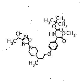 COC(=O)[C@@H](NC(=O)OC(C)(C)C)c1ccc(OCC[C@@H](C)C2CCN(c3nc(C(C)C)no3)CC2)cc1